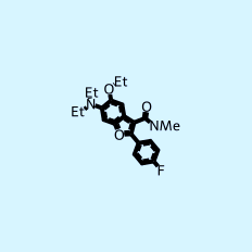 CCOc1cc2c(C(=O)NC)c(-c3ccc(F)cc3)oc2cc1N(CC)CC